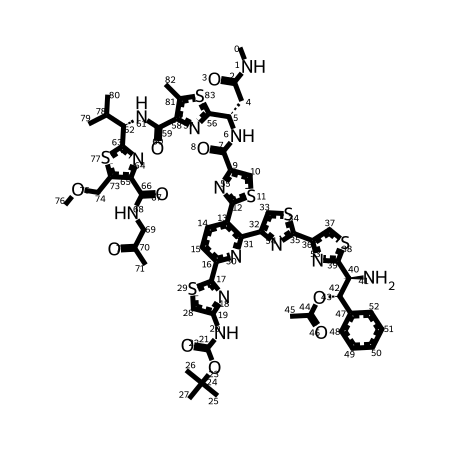 CNC(=O)C[C@H](NC(=O)c1csc(-c2ccc(-c3nc(NC(=O)OC(C)(C)C)cs3)nc2-c2csc(-c3csc([C@@H](N)[C@@H](OC(C)=O)c4ccccc4)n3)n2)n1)c1nc(C(=O)N[C@H](c2nc(C(=O)NCC(C)=O)c(COC)s2)C(C)C)c(C)s1